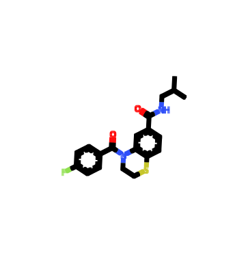 CC(C)CNC(=O)c1ccc2c(c1)N(C(=O)c1ccc(F)cc1)CCS2